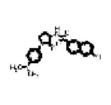 CN(C)c1ccc(N2CC[C@H](NS(=O)(=O)c3ccc4cc(Cl)ccc4c3)C2=O)cc1